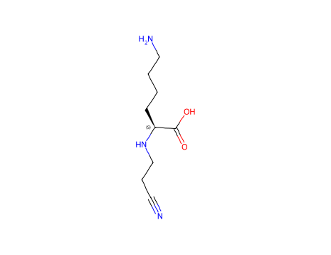 N#CCCN[C@@H](CCCCN)C(=O)O